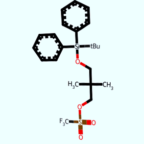 CC(C)(CO[Si](c1ccccc1)(c1ccccc1)C(C)(C)C)COS(=O)(=O)C(F)(F)F